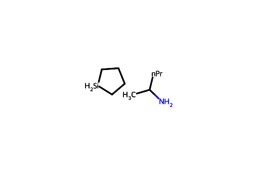 C1CC[SiH2]C1.CCCC(C)N